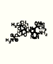 CO[C@@H](C)c1nn([C@@H]2O[C@H](COS(N)(=O)=O)[C@H]3OC(C)(C)O[C@H]32)c2ncnc(N)c12